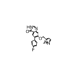 Cn1nccc1COc1cc2nc[nH]c(=O)c2cc1-c1ccc(F)cc1